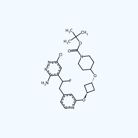 CC(C)(C)OC(=O)N1CCC(O[C@H]2C[C@H](Oc3cc(CC(F)c4cc(Cl)nnc4N)ccn3)C2)CC1